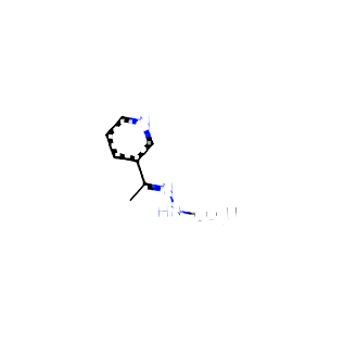 CC(=NNC(=O)O)c1cccnc1